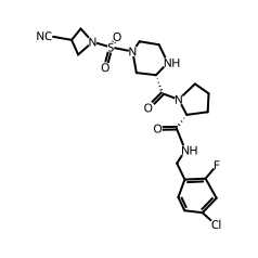 N#CC1CN(S(=O)(=O)N2CCN[C@H](C(=O)N3CCC[C@@H]3C(=O)NCc3ccc(Cl)cc3F)C2)C1